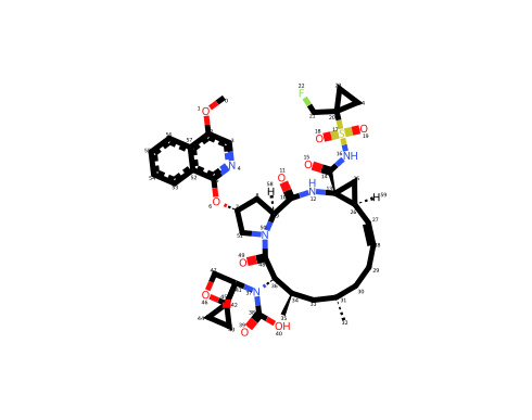 COc1cnc(O[C@@H]2C[C@H]3C(=O)N[C@]4(C(=O)NS(=O)(=O)C5(CF)CC5)C[C@H]4C=CCC[C@H](C)C[C@@H](C)[C@H](N(C(=O)O)C4(C5CC5)COC4)C(=O)N3C2)c2ccccc12